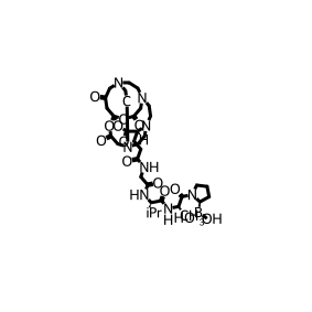 CC(C)[C@H](NC(=O)CNC(=O)CC[C@H]1C(=O)OC23CC(=O)CN4CCN(CCN1CCN(CC4)CC(=O)O2)CC(=O)O3)C(=O)N[C@H](C)C(=O)N1CCC[C@H]1B(O)O